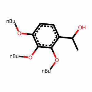 CCCCOc1ccc(C(C)O)c(OCCCC)c1OCCCC